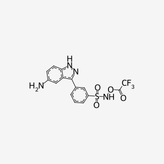 Nc1ccc2[nH]nc(-c3cccc(S(=O)(=O)NOC(=O)C(F)(F)F)c3)c2c1